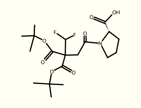 CC(C)(C)OC(=O)C(CC(=O)N1CCC[C@H]1C(=O)O)(C(=O)OC(C)(C)C)C(F)F